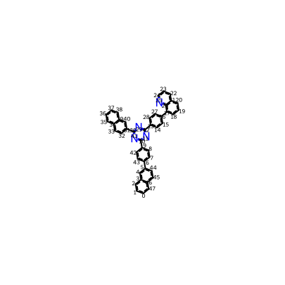 c1ccc2cc(-c3ccc(-c4nc(-c5ccc(-c6cccc7cccnc67)cc5)nc(-c5ccc6ccccc6c5)n4)cc3)ccc2c1